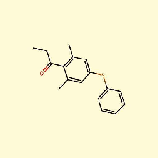 CCC(=O)c1c(C)cc(Sc2ccccc2)cc1C